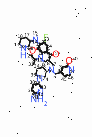 COc1cc(CN(Cc2cn3c4c(c(N(C)C5CCCNC5)c(F)cc4c2=O)OCC3C)[C@H]2CCCN(c3ccc(N)nc3)C2)ccn1